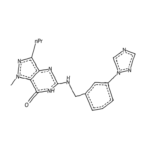 CCCc1nn(C)c2c(=O)[nH]c(NCc3cccc(-n4cncn4)c3)nc12